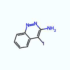 Nc1nnc2ccccc2c1I